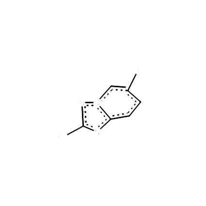 CC(C)c1nc2ccc(C(C)(C)C)cn2n1